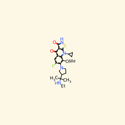 CCNC(C)(C)C1CCN(c2c(F)cc3c(=O)c4c(=O)[nH]sc4n(C4CC4)c3c2OC)C1